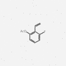 C=Cc1c(F)cccc1OC(C)=O